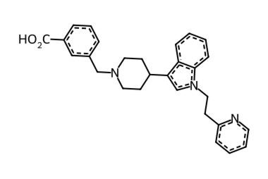 O=C(O)c1cccc(CN2CCC(c3cn(CCc4ccccn4)c4ccccc34)CC2)c1